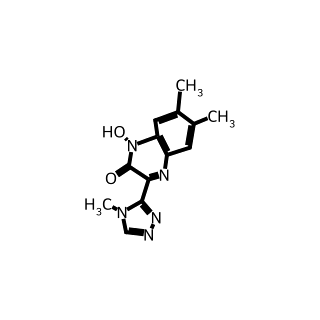 Cc1cc2nc(-c3nncn3C)c(=O)n(O)c2cc1C